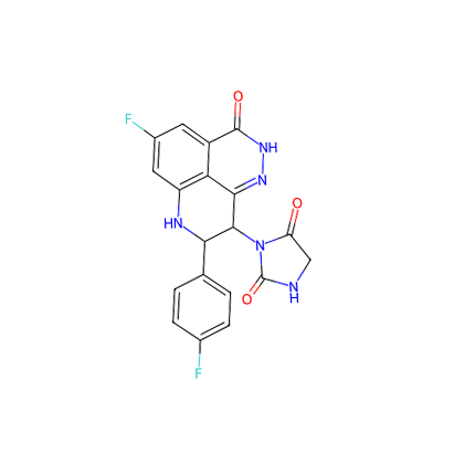 O=C1CNC(=O)N1C1c2n[nH]c(=O)c3cc(F)cc(c23)NC1c1ccc(F)cc1